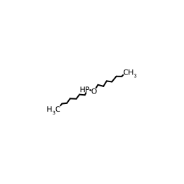 CCCCCCCOPCCCCCCC